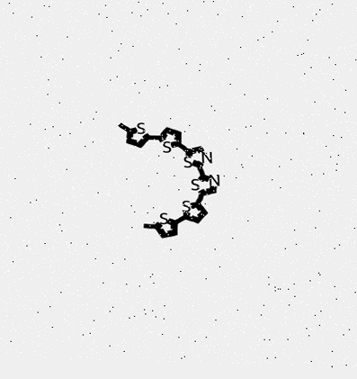 Cc1ccc(-c2ccc(-c3cnc(-c4ncc(-c5ccc(-c6ccc(C)s6)s5)s4)s3)s2)s1